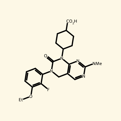 CCOc1cccc(N2Cc3cnc(NC)nc3N(C3CCC(C(=O)O)CC3)C2=O)c1F